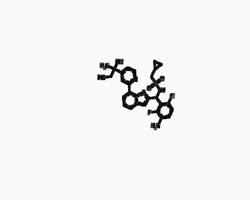 CC(O)(CO)c1ccnc(-c2cccc3cc(C(NS(=O)(=O)CC4CC4)c4c(Cl)ccc(N)c4F)sc23)c1